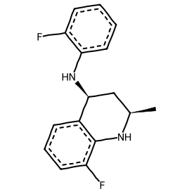 C[C@@H]1C[C@H](Nc2ccccc2F)c2cccc(F)c2N1